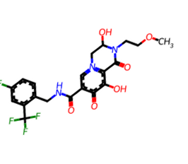 COCCN1C(=O)c2c(O)c(=O)c(C(=O)NCc3ccc(F)cc3C(F)(F)F)cn2CC1O